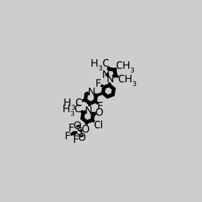 Cc1cnc(-c2cccc(-n3nc(C)c(C)c3C)c2F)c(F)c1-n1c(C)cc(OS(=O)(=O)C(F)(F)F)c(Cl)c1=O